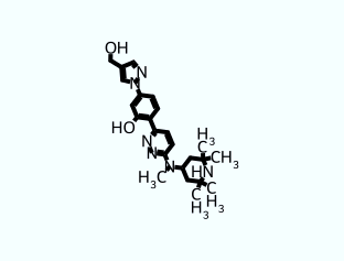 CN(c1ccc(-c2ccc(-n3cc(CO)cn3)cc2O)nn1)C1CC(C)(C)NC(C)(C)C1